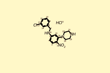 Cl.O=[N+]([O-])c1ccc(NCc2cccc(Cl)c2)cc1N1CCNCC1